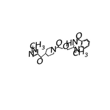 CN1c2ccccc2C(=O)NC1COCC(=O)N1CCC(C(=O)c2cnn(C)c2)CC1